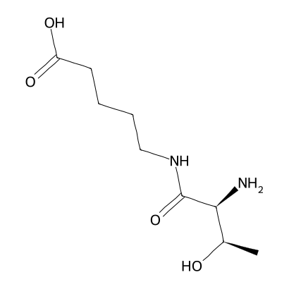 C[C@@H](O)[C@H](N)C(=O)NCCCCC(=O)O